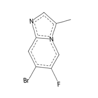 Cc1cnc2cc(Br)c(F)cn12